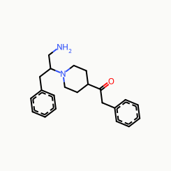 NCC(Cc1ccccc1)N1CCC(C(=O)Cc2ccccc2)CC1